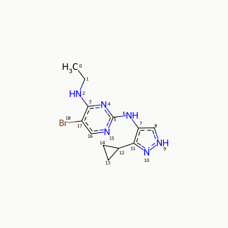 CCNc1nc(Nc2c[nH]nc2C2CC2)ncc1Br